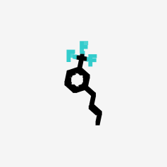 C/C=C/Cc1cccc(C(F)(F)F)c1